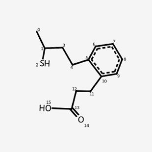 CC(S)CCc1ccccc1CCC(=O)O